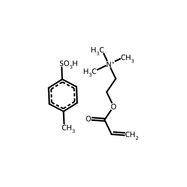 C=CC(=O)OCC[N+](C)(C)C.Cc1ccc(S(=O)(=O)O)cc1